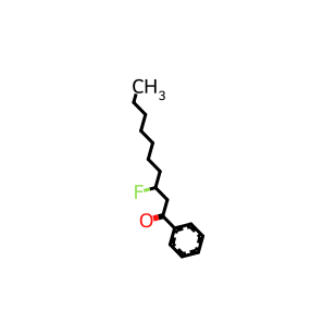 CCCCCCCC(F)CC(=O)c1ccccc1